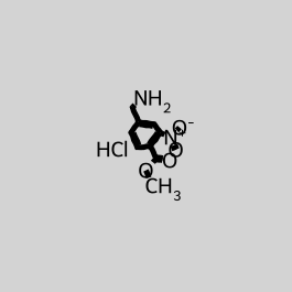 COC(=O)c1ccc(CN)cc1[N+](=O)[O-].Cl